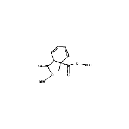 CCCCOC(=O)C1C=CC=CC1(Cl)C(=O)OCCCC